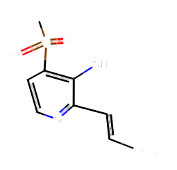 CCOC(=O)C=Cc1nccc(S(C)(=O)=O)c1N